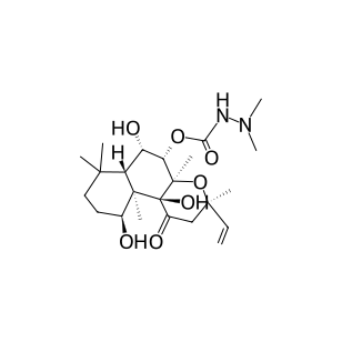 C=C[C@@]1(C)CC(=O)[C@]2(O)[C@@]3(C)[C@@H](O)CCC(C)(C)[C@@H]3[C@H](O)[C@H](OC(=O)NN(C)C)[C@@]2(C)O1